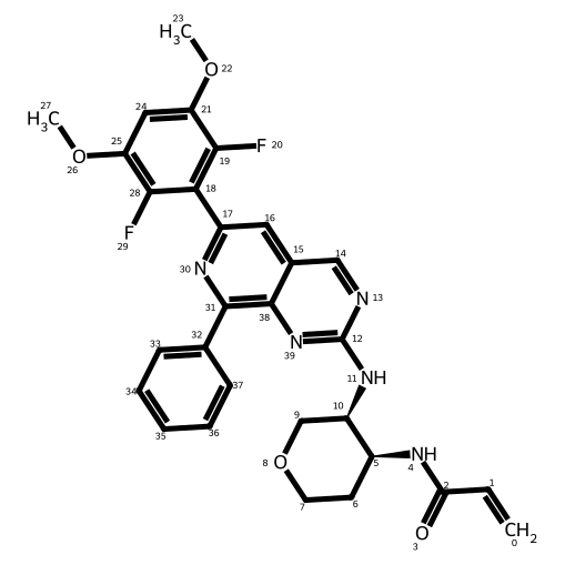 C=CC(=O)N[C@H]1CCOC[C@H]1Nc1ncc2cc(-c3c(F)c(OC)cc(OC)c3F)nc(-c3ccccc3)c2n1